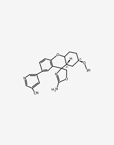 CC(C)O[C@@H]1CCC2Oc3ccc(-c4cncc(C#N)c4)cc3C3(COC(N)=N3)[C@H]2C1